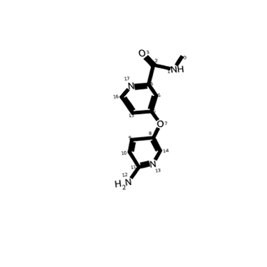 CNC(=O)c1cc(Oc2ccc(N)nc2)ccn1